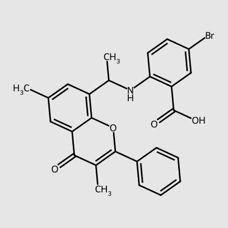 Cc1cc(C(C)Nc2ccc(Br)cc2C(=O)O)c2oc(-c3ccccc3)c(C)c(=O)c2c1